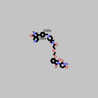 COc1cc(-c2cn(C)c(=O)c3cnccc23)cc(OC)c1CN1CCC2(CC1)CN(C(=O)CCOCCOc1cccc3c1C(=O)N(C1CCC(=O)NC1=O)C3=O)C2